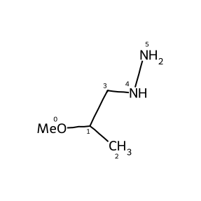 COC(C)CNN